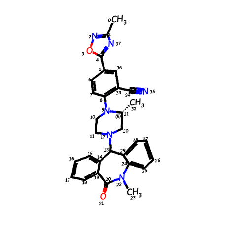 Cc1noc(-c2ccc(N3CCN(C4c5ccccc5C(=O)N(C)c5ccccc54)C[C@H]3C)c(C#N)c2)n1